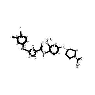 COc1nc(O[C@H]2CC[C@H](C(=O)O)CC2)ccc1NC(=O)c1nnc(Nc2ccc(F)c(Cl)c2)o1